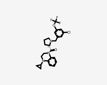 O=C([C@@H]1CCCN1Cc1cc(Cl)cc(OC(F)(F)F)c1)N1CCN(C2CC2)c2ccccc21